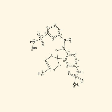 CC1=CCC2(CC1)CN(C(=O)c1cccc(S(=O)(=O)NC(C)(C)C)c1)c1ccc(NS(C)(=O)=O)cc12